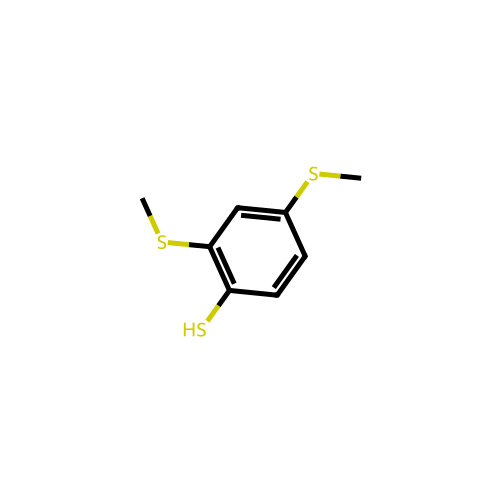 CSc1ccc(S)c(SC)c1